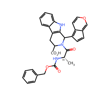 C[C@H](NC(=O)OCc1ccccc1)C(=O)N1C(C(=O)O)Cc2c([nH]c3ccccc23)C1c1ccc2coccc1-2